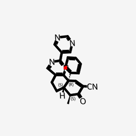 C[C@@H]1C(=O)C(C#N)=C[C@]2(c3ccccc3)c3nc(-c4cncnc4)ncc3CC[C@@H]12